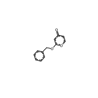 O=c1ccoc(OCc2ccccc2)c1